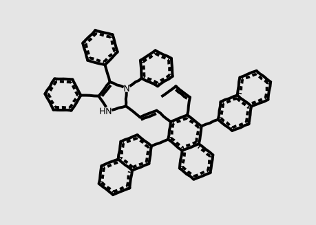 C/C=C\c1c(/C=C/C2NC(c3ccccc3)=C(c3ccccc3)N2c2ccccc2)c(-c2ccc3ccccc3c2)c2ccccc2c1-c1ccc2ccccc2c1